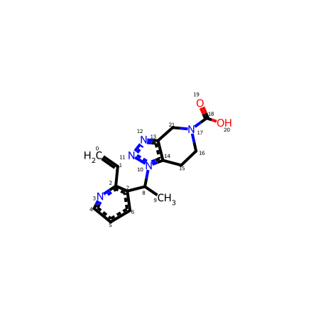 C=Cc1ncccc1C(C)n1nnc2c1CCN(C(=O)O)C2